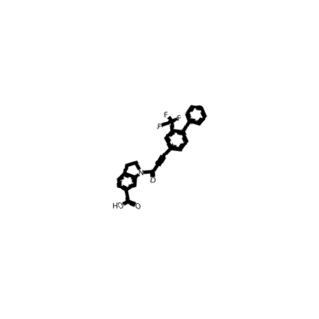 O=C(O)c1ccc2c(c1)N(C(=O)C#Cc1ccc(-c3ccccc3)c(C(F)(F)F)c1)CC2